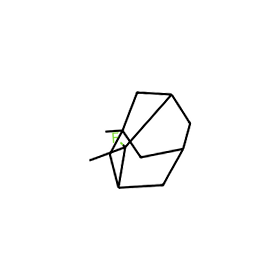 CC12CC3CC(C1)C(C)(F)C(C3)C2